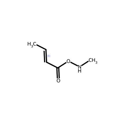 C/C=C/C(=O)ONC